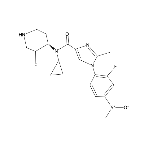 Cc1nc(C(=O)N(C2CC2)[C@@H]2CCNCC2F)cn1-c1ccc([S+](C)[O-])cc1F